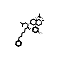 CC(=O)O[C@]12CC[C@H](N(CC(C)C)C(=O)CCCCCc3ccccc3)C[C@]1(c1cccc(O)c1)CCN(C)C2